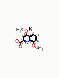 COc1cc(C(=O)[O-])nc2c(OC)cccc12.[K+]